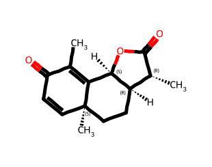 CC1=C2[C@H]3OC(=O)[C@H](C)[C@H]3CC[C@@]2(C)C=CC1=O